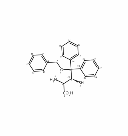 NC(C(=O)O)[C@H](S)C(OCc1ccccc1)(c1ccccc1)c1ccccc1